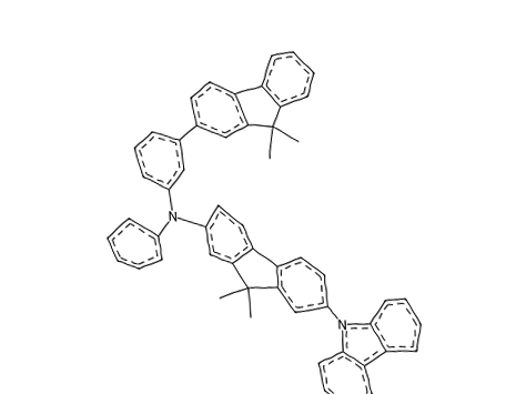 CC1(C)c2ccccc2-c2ccc(-c3cccc(N(c4ccccc4)c4ccc5c(c4)C(C)(C)c4cc(-n6c7ccccc7c7ccccc76)ccc4-5)c3)cc21